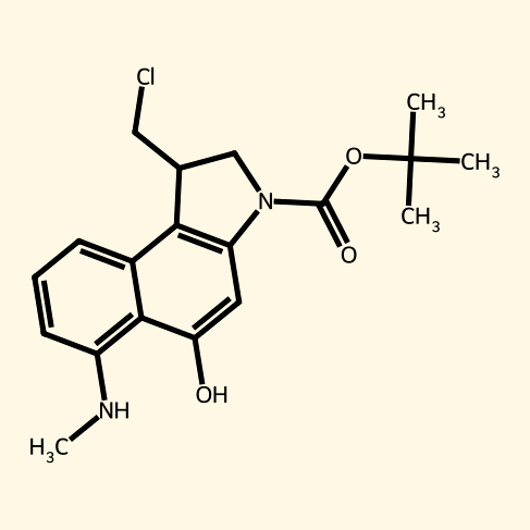 CNc1cccc2c3c(cc(O)c12)N(C(=O)OC(C)(C)C)CC3CCl